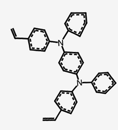 C=Cc1ccc(N(c2ccccc2)c2ccc(N(c3ccccc3)c3ccc(C=C)cc3)cc2)cc1